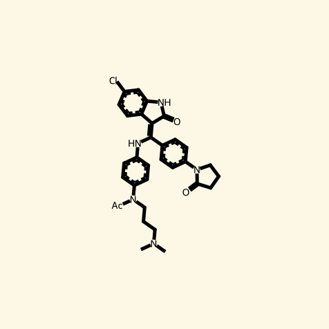 CC(=O)N(CCCN(C)C)c1ccc(NC(=C2C(=O)Nc3cc(Cl)ccc32)c2ccc(N3CCCC3=O)cc2)cc1